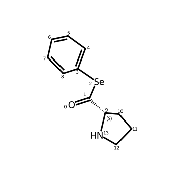 O=C([Se]c1ccccc1)[C@@H]1CCCN1